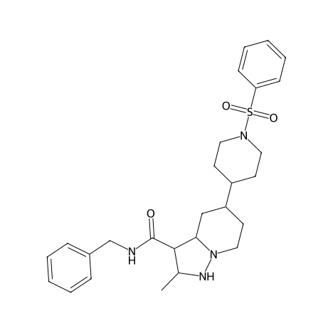 CC1NN2CCC(C3CCN(S(=O)(=O)c4ccccc4)CC3)CC2C1C(=O)NCc1ccccc1